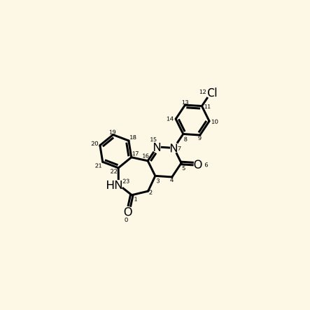 O=C1CC2CC(=O)N(c3ccc(Cl)cc3)N=C2c2ccccc2N1